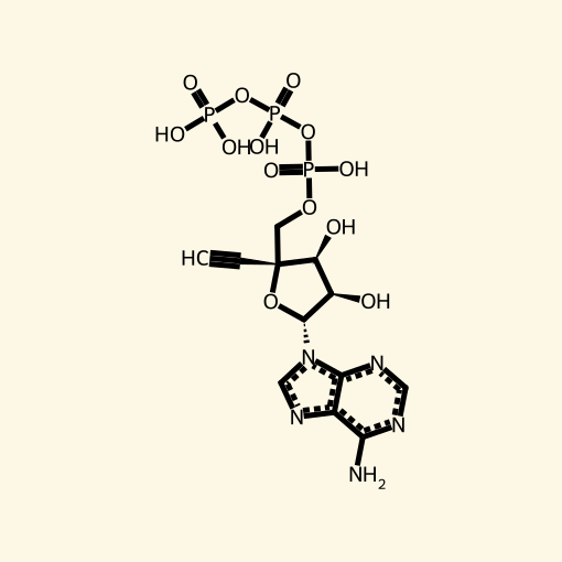 C#C[C@]1(COP(=O)(O)OP(=O)(O)OP(=O)(O)O)O[C@@H](n2cnc3c(N)ncnc32)[C@H](O)[C@@H]1O